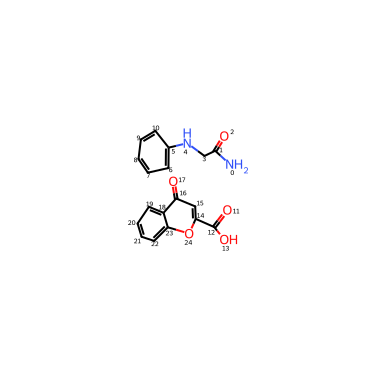 NC(=O)CNc1ccccc1.O=C(O)c1cc(=O)c2ccccc2o1